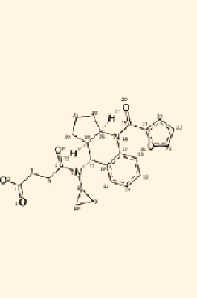 O=C(O)CCC(=O)N(C1CC1)[C@H]1c2ccccc2N(C(=O)c2ccco2)[C@@H]2CCC[C@@H]21